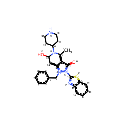 CC1=c2c(n(Cc3ccccc3)n(-c3nc4ccccc4s3)c2=O)=CC(O)N1C1CCNCC1